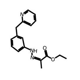 CCOC(=O)C(C)=NNc1cccc(Cc2ccccn2)c1